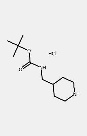 CC(C)(C)OC(=O)NCC1CCNCC1.Cl